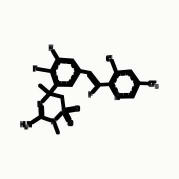 CN1C(N)=NC(C)(c2cc(C=C(F)c3ncc(C(F)(F)F)cc3Cl)cc(F)c2F)CS1(=O)=O